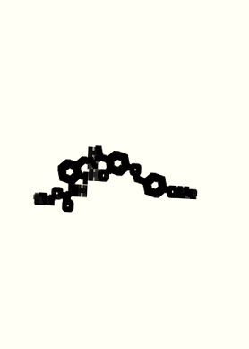 COc1ccc(COc2ccc(C(C)NCc3cccc(NC(=O)OC(C)(C)C)c3F)c(O)c2)cc1